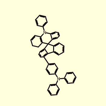 C1=CC2=C(CC1)C1(c3ccccc3-c3c(-c4ccc(N(c5ccccc5)c5ccccc5)cc4)cccc31)c1ccccc1N2c1ccccc1